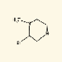 CN1CC[N]CC1Br